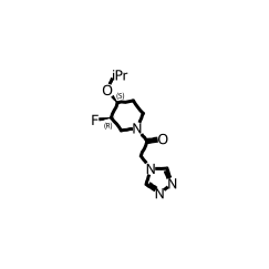 CC(C)O[C@H]1CCN(C(=O)Cn2cnnc2)C[C@H]1F